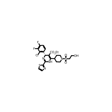 CCOC(=O)C1=C(C2CCN(S(=O)(=O)CCO)CC2)NC(c2nccs2)=N[C@@H]1c1ccc(F)c(F)c1Cl